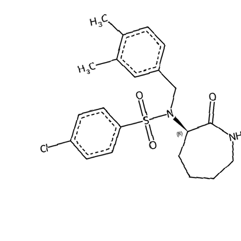 Cc1ccc(CN([C@@H]2CCCCNC2=O)S(=O)(=O)c2ccc(Cl)cc2)cc1C